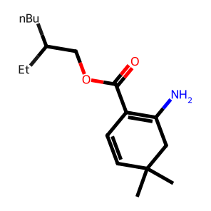 CCCCC(CC)COC(=O)C1=C(N)CC(C)(C)C=C1